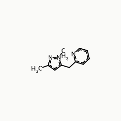 Cc1cc(Cc2ccccn2)n(C)n1